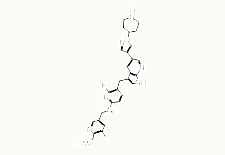 COc1ncc(CNc2ccc(Cc3c[nH]c4ncc(-c5cnn(C6CCNCC6)c5)cc34)c(F)n2)cc1F